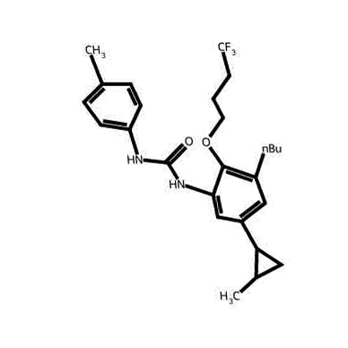 CCCCc1cc(C2CC2C)cc(NC(=O)Nc2ccc(C)cc2)c1OCCCC(F)(F)F